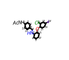 CC(=O)Nc1ccc(CNc2ccccc2Oc2ccc(I)cc2Cl)cc1